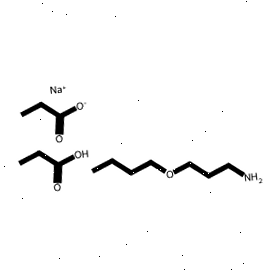 CCC(=O)O.CCC(=O)[O-].CCCCOCCCN.[Na+]